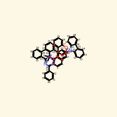 CC1(C)c2ccccc2C2(c3ccccc3Oc3ccccc32)c2cccc(-c3ccccc3-c3nc(-c4ccccc4)nc(-c4ccc(-n5c6ccccc6c6ccccc65)cc4)n3)c21